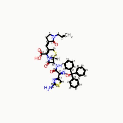 C=CCN1CCC(=CC2=C(C(=O)O)N3C(=O)[C@@H](NC(=O)C(=NOC(c4ccccc4)(c4ccccc4)c4ccccc4)c4csc(N)n4)[C@H]3SC2)C1=O